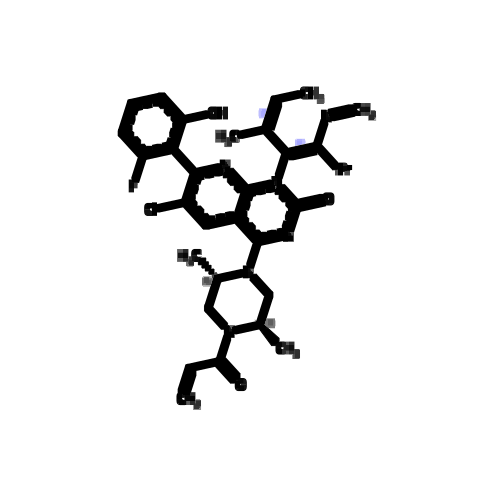 C=CC(=O)N1C[C@H](C)N(c2nc(=O)n(C(/C(C)=C\C)=C(/N=C)C(C)C)c3nc(-c4c(O)cccc4F)c(Cl)cc23)C[C@H]1C